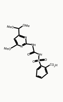 COc1cc(C(OC)OC)nc(NC(=O)NS(=O)(=O)c2ccccc2C(=O)O)n1